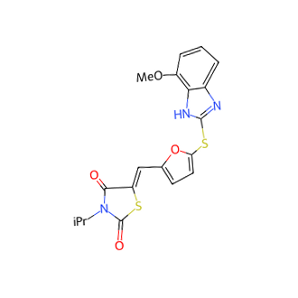 COc1cccc2nc(Sc3ccc(/C=C4\SC(=O)N(C(C)C)C4=O)o3)[nH]c12